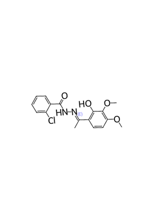 COc1ccc(/C(C)=N/NC(=O)c2ccccc2Cl)c(O)c1OC